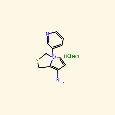 Cl.Cl.NC1=C2CSC[N+]2(c2cccnc2)C=C1